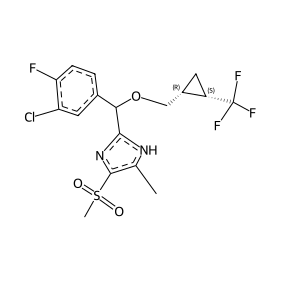 Cc1[nH]c(C(OC[C@@H]2C[C@@H]2C(F)(F)F)c2ccc(F)c(Cl)c2)nc1S(C)(=O)=O